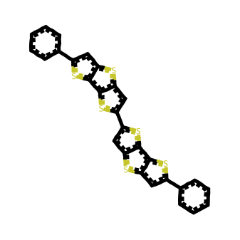 c1ccc(-c2cc3sc4cc(-c5cc6sc7cc(-c8ccccc8)sc7c6s5)sc4c3s2)cc1